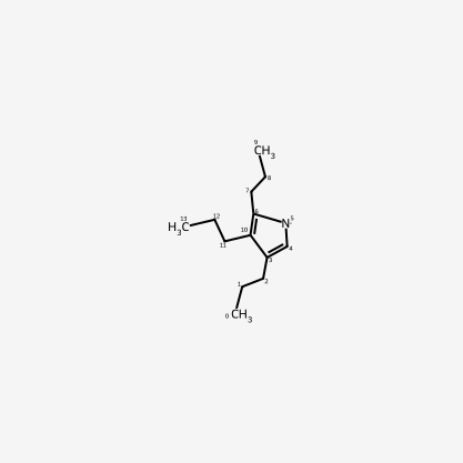 CCCC1=C[N]C(CCC)=C1CCC